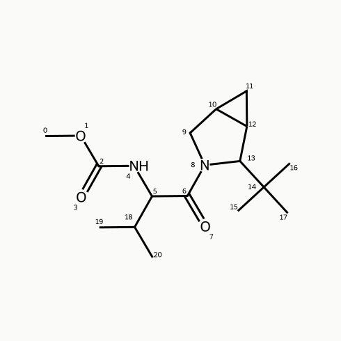 COC(=O)NC(C(=O)N1CC2CC2C1C(C)(C)C)C(C)C